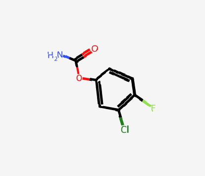 NC(=O)Oc1ccc(F)c(Cl)c1